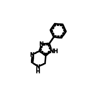 C1=Nc2nc(-c3ccccc3)[nH]c2CN1